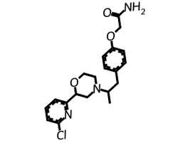 CC(Cc1ccc(OCC(N)=O)cc1)N1CCOC(c2cccc(Cl)n2)C1